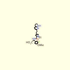 CCn1cc(CCc2ccc3c(n2)NCCC3)cc1C(=O)NC(CC(=O)O)c1ccc(OC)c(F)c1